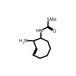 CSC(=O)NC1CCCC/C=C/C1N